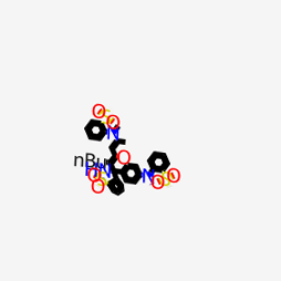 CCCCC1=C(/C=C(\C)N(C)c2ccccc2S(C)(=O)=O)Oc2cc(N(C)c3ccccc3S(C)(=O)=O)ccc2C12NS(=O)(=O)c1ccccc12